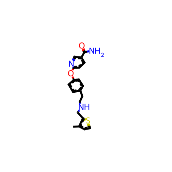 Cc1ccsc1CNCCc1ccc(Oc2ccc(C(N)=O)cn2)cc1